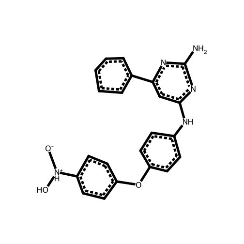 Nc1nc(Nc2ccc(Oc3ccc([NH+]([O-])O)cc3)cc2)cc(-c2ccccc2)n1